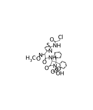 CO/N=C(\C(=O)NC1C(=O)N(S(=O)(=O)O)C1(c1ccccc1)c1ccccc1)c1csc(NC(=O)CCl)n1